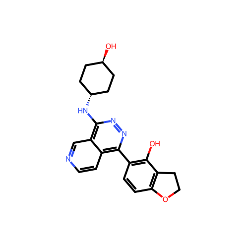 Oc1c(-c2nnc(N[C@H]3CC[C@H](O)CC3)c3cnccc23)ccc2c1CCO2